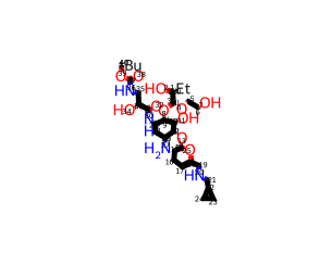 CC[C@@H](O)[C@H](OCCO)O[C@@H]1[C@@H](O)[C@H](O[C@@H]2CCC=C(CNCC3CC3)O2)[C@@H](N)C[C@H]1NC(=O)[C@H](O)CNC(=O)OC(C)(C)C